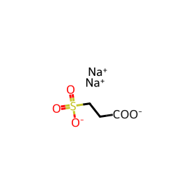 O=C([O-])CCS(=O)(=O)[O-].[Na+].[Na+]